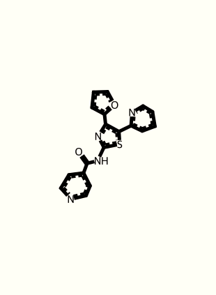 O=C(Nc1nc(-c2ccco2)c(-c2ccccn2)s1)c1ccncc1